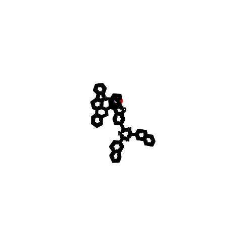 c1ccc(-n2c3ccccc3c3ccc4c(c32)C(c2cccc3oc5cc(-c6nc(-c7ccc8ccccc8c7)nc(-c7ccc8ccccc8c7)n6)ccc5c23)Cc2ccccc2-4)cc1